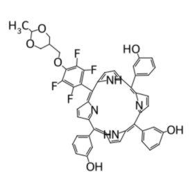 CC1OCC(COc2c(F)c(F)c(-c3c4nc(c(-c5cccc(O)c5)c5ccc([nH]5)c(-c5cccc(O)c5)c5nc(c(-c6cccc(O)c6)c6ccc3[nH]6)C=C5)C=C4)c(F)c2F)CO1